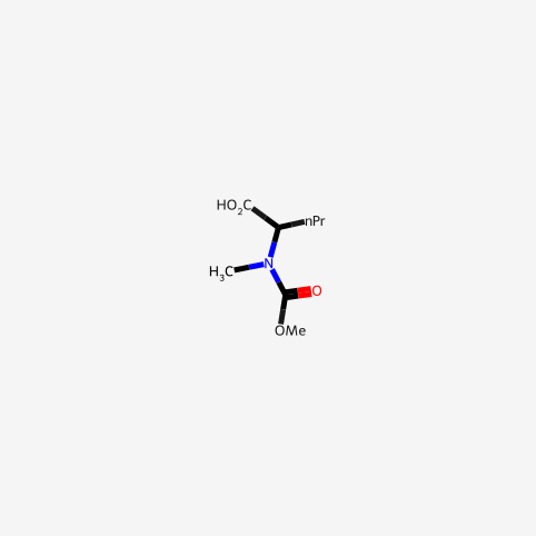 CCCC(C(=O)O)N(C)C(=O)OC